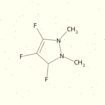 CN1C(F)=C(F)C(F)N1C